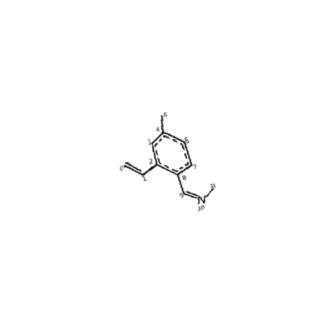 C=Cc1cc(C)ccc1/C=N\C